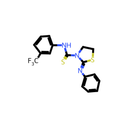 FC(F)(F)c1cccc(NC(=S)N2CCSC2=Nc2ccccc2)c1